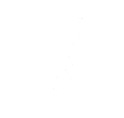 C=CCCCCCCCCS(C)(=O)=O